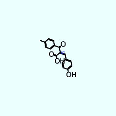 Cc1ccc(C(=O)/C(=C/c2ccc(O)cc2)C(=O)O)cc1